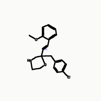 COc1ccccc1/C=C/C1(Cc2ccc(Cl)cc2)CNCCO1